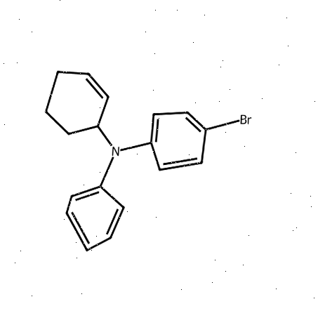 Brc1ccc(N(c2ccccc2)C2C=CCCC2)cc1